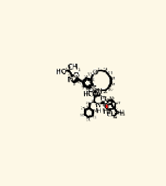 C[C@H](O)c1ncc(-c2ccc3c(c2)COCCCCCCCN(C[C@@H](O)[C@H](Cc2ccccc2)NC(=O)O[C@H]2C4CO[C@H]5OC[C@@H]2C5C4)S3(=O)=O)o1